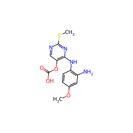 COc1ccc(Nc2nc(SC)ncc2OC(=O)O)c(N)c1